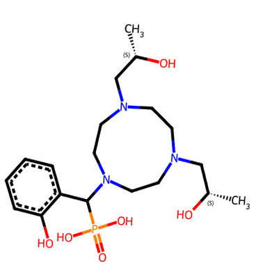 C[C@H](O)CN1CCN(C[C@H](C)O)CCN(C(c2ccccc2O)P(=O)(O)O)CC1